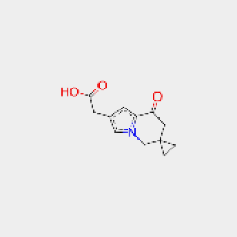 O=C(O)Cc1cc2n(c1)CC1(CC1)CC2=O